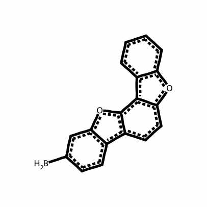 Bc1ccc2c(c1)oc1c2ccc2oc3ccccc3c21